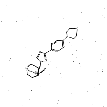 c1cc(N2CCOCC2)ccc1-c1cn([C@H]2CN3CCC2CC3)cn1